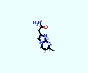 Cc1ccn2cc(CC(N)=O)nc2n1